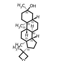 CC1([C@H]2CC[C@H]3[C@@H]4CC[C@H]5C[C@](C)(O)CC[C@]5(C)[C@H]4CC[C@]23C)COC1